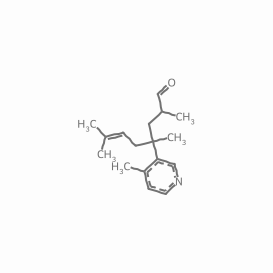 CC(C)=CCC(C)(CC(C)C=O)c1cnccc1C